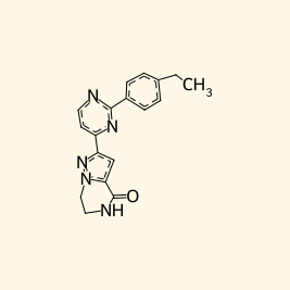 CCc1ccc(-c2nccc(-c3cc4n(n3)CCNC4=O)n2)cc1